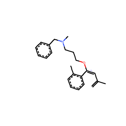 C=C(C)/C=C(/OCCCN(C)Cc1ccccc1)c1ccccc1C